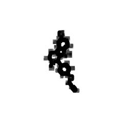 C#CCOc1ccc(C2c3[nH]c4ccc(Cl)cc4c3CCN2C)cc1